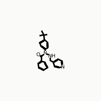 CC(C)(C)c1ccc(N(NCc2ccncc2)C(=O)c2ccccc2)cc1